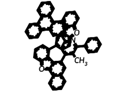 Cc1c(-c2cc3ccccc3c3oc4cccc(-c5ccc6oc7ccccc7c6c5)c4c23)cc(-c2ccc3c4ccccc4c4ccccc4c3c2)nc1-c1ccccc1